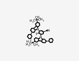 CC(C)(C)c1ccc2c(c1)c1ccc(-c3ccccc3)cc1n2-c1cc(C#N)cc(-n2c3ccc(C(C)(C)C)cc3c3ccc(-c4ccccc4)cc32)c1F